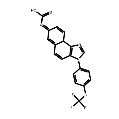 O=C(O)N=C1C=CC2C(=C1)C=Cc1c2ncn1-c1ccc(OC(F)(F)F)cc1